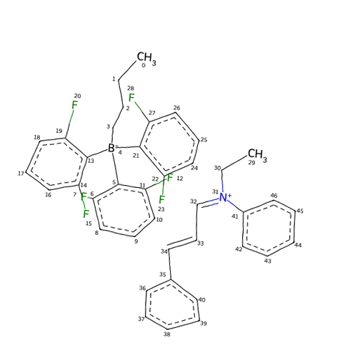 CCCC[B-](c1c(F)cccc1F)(c1c(F)cccc1F)c1c(F)cccc1F.CC[N+](=CC=Cc1ccccc1)c1ccccc1